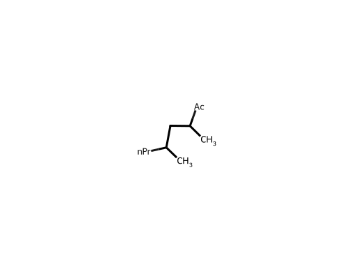 CCCC(C)CC(C)C(C)=O